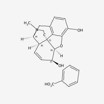 CN1CC[C@]23c4c5ccc(O)c4O[C@H]2[C@@H](O)C=C[C@H]3[C@H]1C5.O=C(O)c1ccccc1